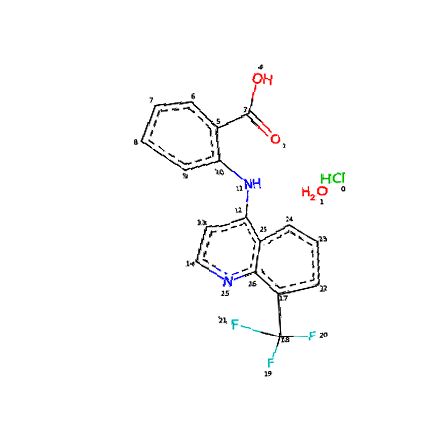 Cl.O.O=C(O)c1ccccc1Nc1ccnc2c(C(F)(F)F)cccc12